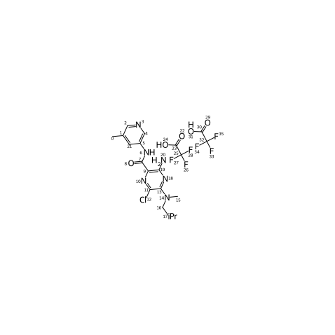 Cc1cncc(NC(=O)c2nc(Cl)c(N(C)CC(C)C)nc2N)c1.O=C(O)C(F)(F)F.O=C(O)C(F)(F)F